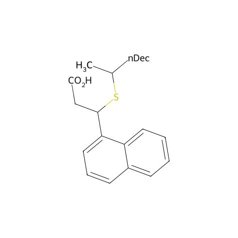 CCCCCCCCCCC(C)SC(CC(=O)O)c1cccc2ccccc12